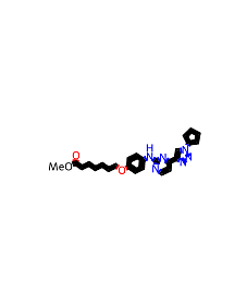 COC(=O)CCCCCCOc1ccc(Nc2nccc(-c3cn(C4CCCC4)nn3)n2)cc1